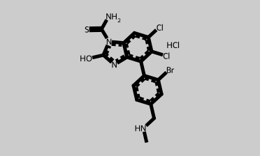 CNCc1ccc(-c2c(Cl)c(Cl)cc3c2nc(O)n3C(N)=S)c(Br)c1.Cl